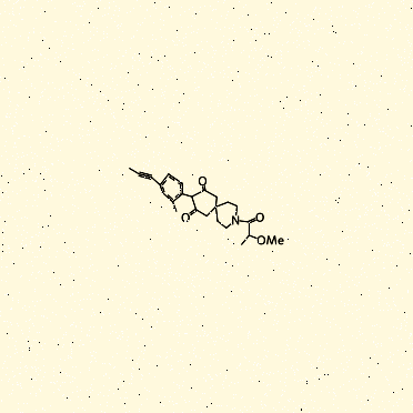 CC#Cc1ccc(C2C(=O)CC3(CCN(C(=O)C(C)OC)CC3)CC2=O)c(C)c1